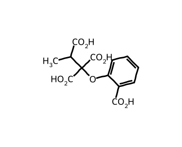 CC(C(=O)O)C(Oc1ccccc1C(=O)O)(C(=O)O)C(=O)O